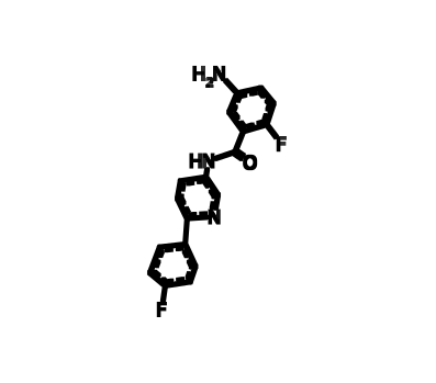 Nc1ccc(F)c(C(=O)Nc2ccc(-c3ccc(F)cc3)nc2)c1